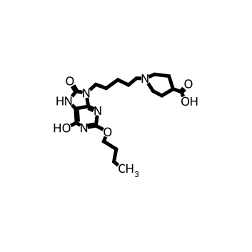 CCCCOc1nc(O)c2[nH]c(=O)n(CCCCCN3CCC(C(=O)O)CC3)c2n1